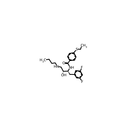 CCCCNC[C@@H](O)[C@H](Cc1cc(F)cc(F)c1)NC(=O)c1ccc(SCC)cc1